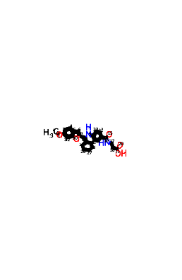 COc1ccc2cc(C(Nc3ccc(C(=O)NCCC(=O)O)cc3)C3CCCCC3)oc2c1